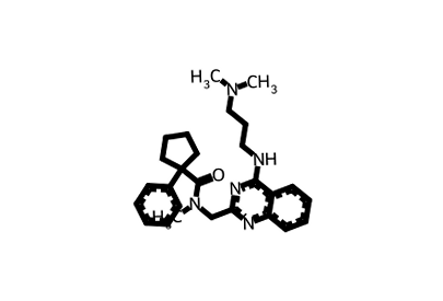 CN(C)CCCNc1nc(CN(C)C(=O)C2(c3ccccc3)CCCC2)nc2ccccc12